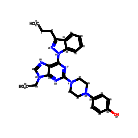 O=C(O)CCc1nn(-c2nc(N3CCN(c4ccc(O)cc4)CC3)nc3c2ncn3CC(=O)O)c2ccccc12